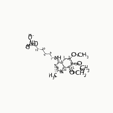 COc1cc2c(NCCCCCO[N+](=O)[O-])nc(C)nc2c(OC)c1OC